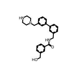 O=C(NCc1cccc(-c2cccc(CN3CCNCC3)c2)c1)c1cccc(CO)c1